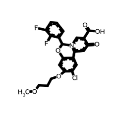 COCCCOc1cc2c(cc1Cl)-c1cc(=O)c(C(=O)O)cn1C(c1cccc(F)c1F)O2